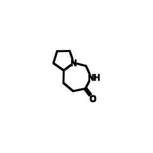 O=C1CCC2CCCN2CN1